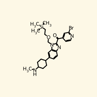 CNC1CCC(c2ccc3nc(C(=O)c4ccnc(Br)c4)n(COCC[Si](C)(C)C)c3c2)CC1